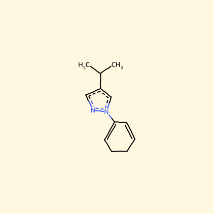 CC(C)c1cnn(C2=CCCC=C2)c1